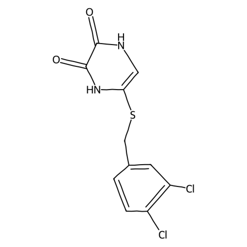 O=c1[nH]cc(SCc2ccc(Cl)c(Cl)c2)[nH]c1=O